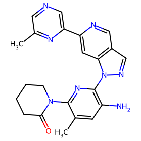 Cc1cncc(-c2cc3c(cn2)cnn3-c2nc(N3CCCCC3=O)c(C)cc2N)n1